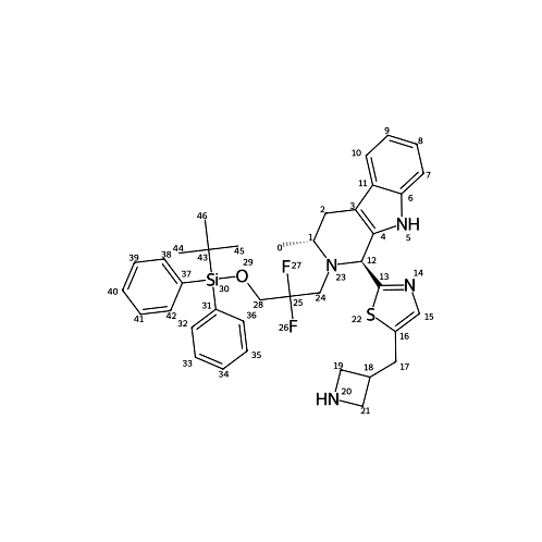 C[C@@H]1Cc2c([nH]c3ccccc23)[C@@H](c2ncc(CC3CNC3)s2)N1CC(F)(F)CO[Si](c1ccccc1)(c1ccccc1)C(C)(C)C